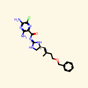 C/C(=C\[C@H]1CN/C(=N/C(=O)c2nc(Cl)c(N)nc2N)N1)CCOCc1ccccc1